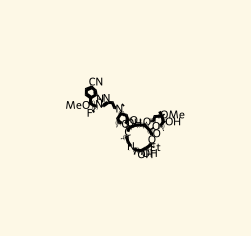 CC[C@H]1OC(=O)[C@H](C)[C@@H](O[C@H]2C[C@@](C)(OC)[C@@H](O)[C@H](C)O2)[C@H](C)[C@@H](O[C@H]2C[C@@H](N(C)CCc3cn([C@H](CF)[C@H](OC)c4ccc(C#N)cc4)nn3)C[C@@H](C)O2)[C@](C)(O)C[C@@H](C)CN(C)[C@H](C)[C@@H](O)[C@]1(C)O